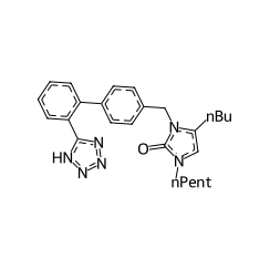 CCCCCn1cc(CCCC)n(Cc2ccc(-c3ccccc3-c3nnn[nH]3)cc2)c1=O